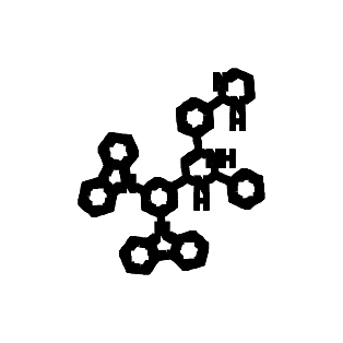 C1=CNC(c2cccc(C3=CC(c4cc(-n5c6ccccc6c6ccccc65)cc(-n5c6ccccc6c6ccccc65)c4)NC(c4ccccc4)N3)c2)N=C1